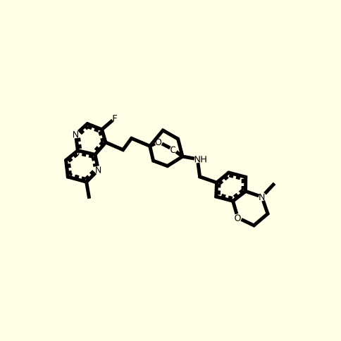 Cc1ccc2ncc(F)c(CCC34CCC(NCc5ccc6c(c5)OCCN6C)(CC3)CO4)c2n1